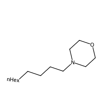 CCCCCCCCCCN1CCOCC1